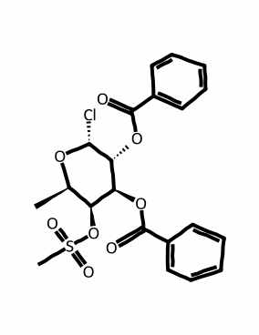 C[C@H]1O[C@H](Cl)[C@H](OC(=O)c2ccccc2)[C@@H](OC(=O)c2ccccc2)[C@H]1OS(C)(=O)=O